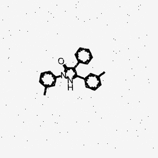 Cc1cccc(-c2[nH]n(-c3cccc(C)c3)c(=O)c2-c2ccccc2)c1